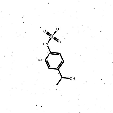 CC(O)c1ccc(NS(=O)(=O)[O-])cc1.[Na+]